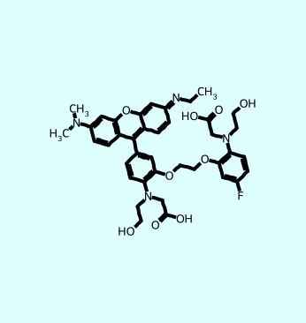 CC/N=c1\ccc2c(-c3ccc(N(CCO)CC(=O)O)c(OCCOc4cc(F)ccc4N(CCO)CC(=O)O)c3)c3ccc(N(C)C)cc3oc-2c1